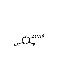 CCc1cnc(OC)c(F)c1